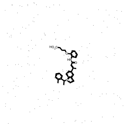 CC(=CC(=O)Nc1ccccc1OCCCC(=O)O)c1ccc2c(ccn2C(C)c2ccccc2C)c1